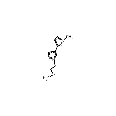 COCCn1cc(-c2ccn(C)n2)cn1